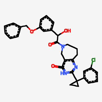 O=C(C(O)c1cccc(OCc2ccccc2)c1)N1CCCc2nc(C3(c4cccc(Cl)c4)CC3)[nH]c(=O)c2C1